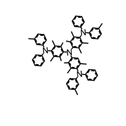 Cc1cccc(N(c2ccccc2)c2c(C)cc(N(c3c(C)c(C)c(N(c4ccccc4)c4cccc(C)c4)c(C)c3C)c3c(C)c(C)c(N(c4ccccc4)c4cccc(C)c4)c(C)c3C)c(C)c2C)c1